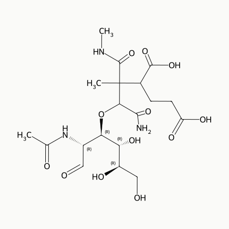 CNC(=O)C(C)(C(CCC(=O)O)C(=O)O)C(O[C@@H]([C@H](O)[C@H](O)CO)[C@H](C=O)NC(C)=O)C(N)=O